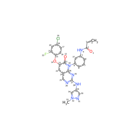 C=CC(=O)Nc1cccc(-n2c(=O)c(Oc3ccc(Cl)cc3F)cc3cnc(Nc4cnn(C)c4)nc32)c1